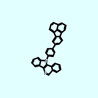 c1cc2c3c(cccc3c1)-c1cc(-c3ccc(-n4c5ccccc5c5ncc6ccccc6c54)cc3)ccc1-2